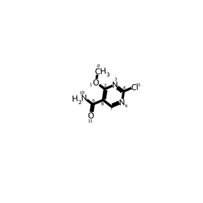 COc1nc(Cl)ncc1C(N)=O